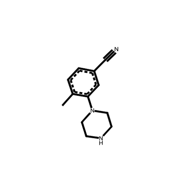 Cc1ccc(C#N)cc1N1CCNCC1